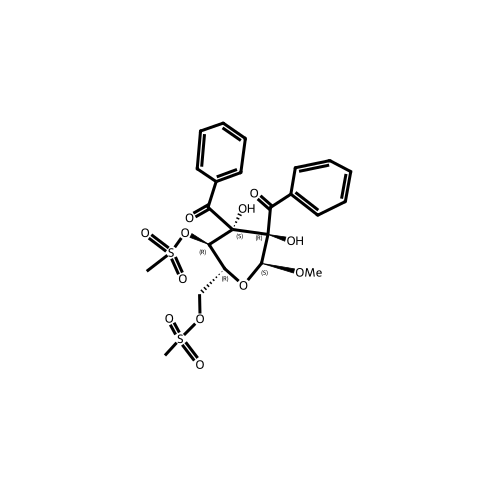 CO[C@H]1O[C@H](COS(C)(=O)=O)[C@@H](OS(C)(=O)=O)[C@@](O)(C(=O)c2ccccc2)[C@]1(O)C(=O)c1ccccc1